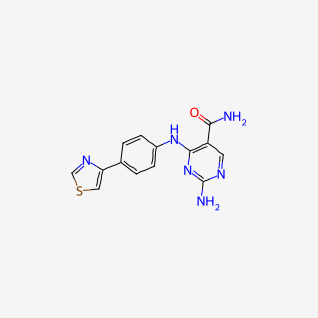 NC(=O)c1cnc(N)nc1Nc1ccc(-c2cscn2)cc1